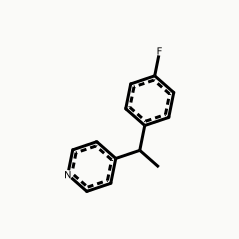 CC(c1ccncc1)c1ccc(F)cc1